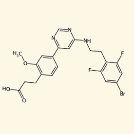 COc1cc(-c2cc(NCCc3c(F)cc(Br)cc3F)ncn2)ccc1CCC(=O)O